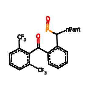 CCCCCC(P=O)c1ccccc1C(=O)c1c(C(F)(F)F)cccc1C(F)(F)F